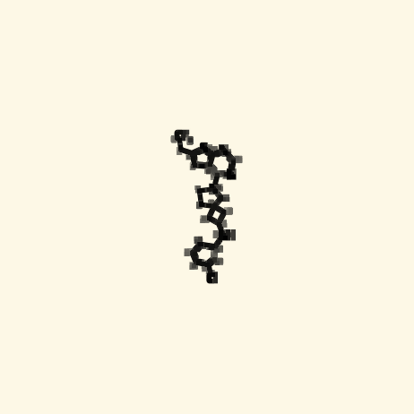 FC(F)(F)Cc1cc2c(N3CCC4(CC(Nc5cccc(Cl)c5)C4)C3)ncnc2s1